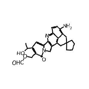 CC(O)c1cc2n(c(=O)c1COC=O)Cc1c-2nc2ccc(N)c3c2c1CC1(CCCC1)C3